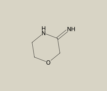 N=C1COCCN1